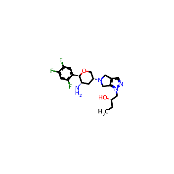 CC[C@H](O)Cn1ncc2c1CN([C@H]1CO[C@H](c3cc(F)c(F)cc3F)[C@@H](N)C1)C2